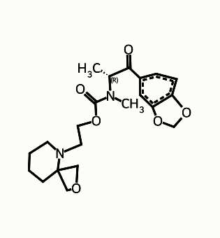 C[C@H](C(=O)c1ccc2c(c1)OCO2)N(C)C(=O)OCCN1CCCCC12COC2